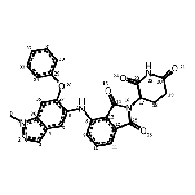 Cn1ncc2cc(Nc3cccc4c3C(=O)N(C3CCC(=O)NC3=O)C4=O)c(Oc3ccccc3)cc21